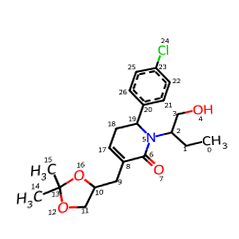 CCC(CO)N1C(=O)C(CC2COC(C)(C)O2)=CCC1c1ccc(Cl)cc1